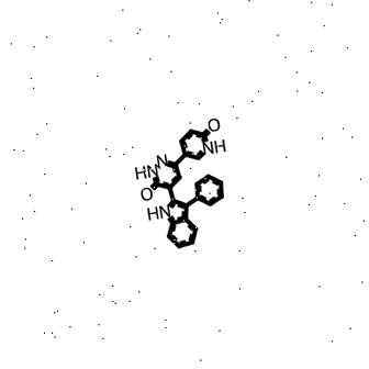 O=c1ccc(-c2cc(-c3[nH]c4ccccc4c3-c3ccccc3)c(=O)[nH]n2)c[nH]1